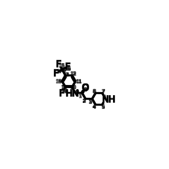 O=C(CC1CCNCC1)Nc1ccc(C(F)(F)F)cc1F